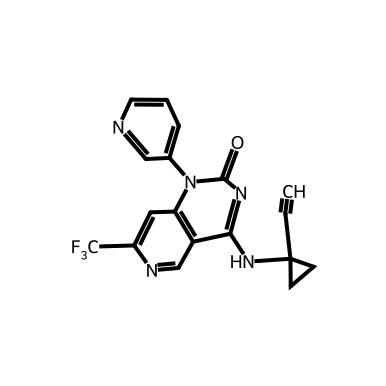 C#CC1(Nc2nc(=O)n(-c3cccnc3)c3cc(C(F)(F)F)ncc23)CC1